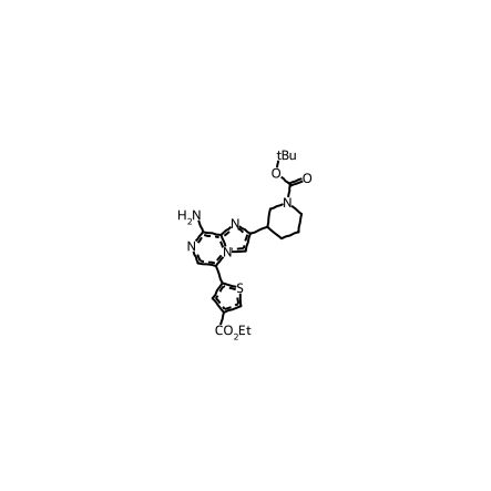 CCOC(=O)c1csc(-c2cnc(N)c3nc(C4CCCN(C(=O)OC(C)(C)C)C4)cn23)c1